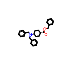 O=C(OCc1ccccc1)[C@H]1CC[C@H](N(Cc2ccccc2)Cc2ccccc2)CC1